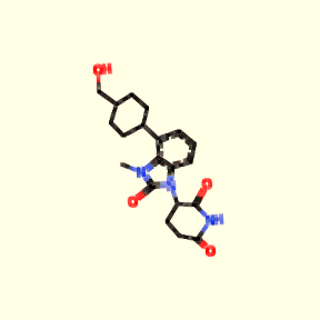 Cn1c(=O)n(C2CCC(=O)NC2=O)c2cccc(C3CCC(CO)CC3)c21